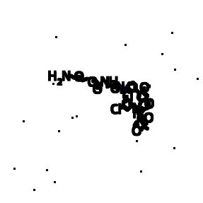 COc1cc2c(cc1-c1cccc(/C(C)=N/OCCNC(=O)COCCOCCN)c1)-c1c(c(C(=O)N3CCOCC3(C)C)nn1-c1cc(Cl)cc(Cl)c1)CO2